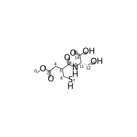 COC(=O)CC(CS)C(=O)N[C@@H](CO)C(=O)O